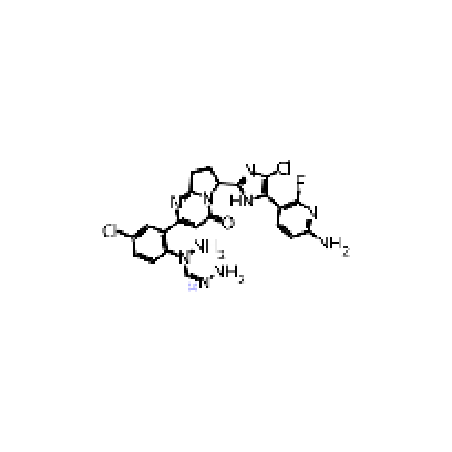 N/N=C\N(N)c1ccc(Cl)cc1-c1cc(=O)n2c(n1)CCC2c1nc(Cl)c(-c2ccc(N)nc2F)[nH]1